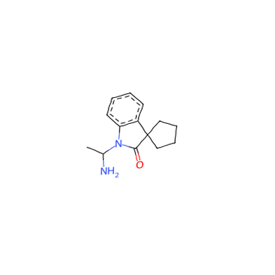 CC(N)N1C(=O)C2(CCCC2)c2ccccc21